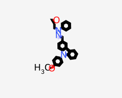 COc1ccc(-n2c3ccccc3c3cc(/C=N/N(CC4CO4)c4ccccc4)ccc32)cc1